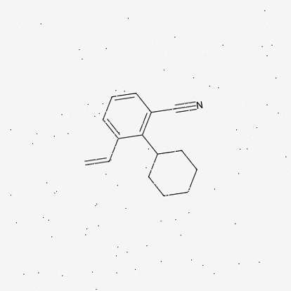 C=Cc1cccc(C#N)c1C1CCCCC1